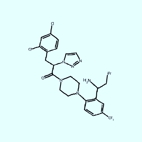 CC(C)CC(N)c1cc(C(F)(F)F)ccc1N1CCN(C(=O)C(Cc2ccc(Cl)cc2Cl)n2ccnn2)CC1